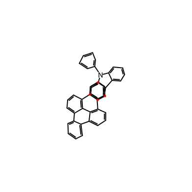 c1ccc(-c2cccc3c4ccccc4c4cccc(-c5ccc6c(c5)c5ccccc5n6-c5ccccc5)c4c23)cc1